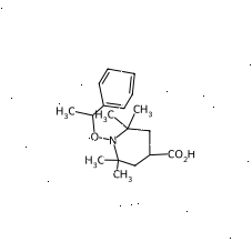 CC(ON1C(C)(C)CC(C(=O)O)CC1(C)C)c1ccccc1